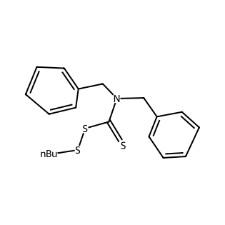 CCCCSSC(=S)N(Cc1ccccc1)Cc1ccccc1